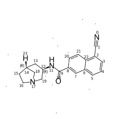 N#Cc1cccc2cc(C(=O)N[C@@H]3C[C@H]4CCN(C4)C3)ccc12